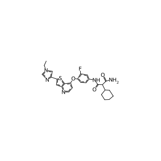 CCn1cnc(-c2cc3nccc(Oc4ccc(NC(=O)C(C(N)=O)C5CCCCC5)cc4F)c3s2)c1